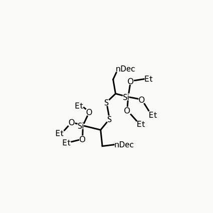 CCCCCCCCCCCC(SSC(CCCCCCCCCCC)[Si](OCC)(OCC)OCC)[Si](OCC)(OCC)OCC